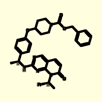 CC(C)[C@H](C)n1c(=O)ccc2cnc(N[C@@H](C)c3ccc(OC4CCN(C(=O)OCc5ccccc5)CC4)cc3)nc21